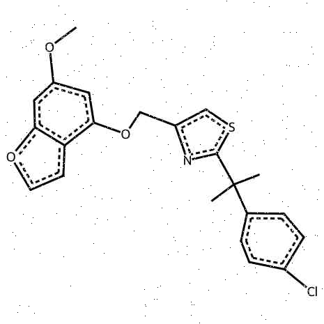 COc1cc(OCc2csc(C(C)(C)c3ccc(Cl)cc3)n2)c2ccoc2c1